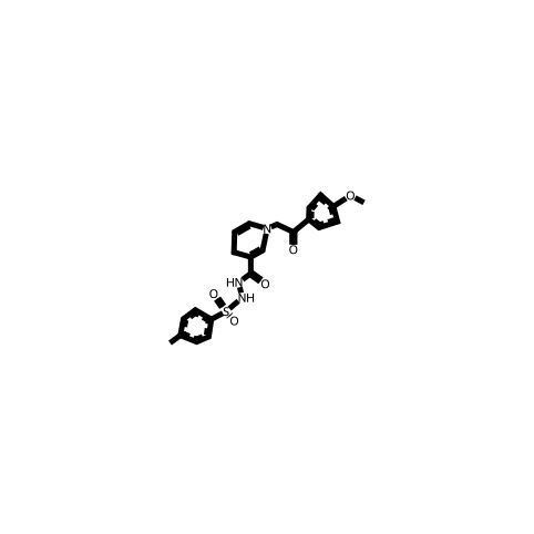 COc1ccc(C(=O)CN2C=CCC(C(=O)NNS(=O)(=O)c3ccc(C)cc3)=C2)cc1